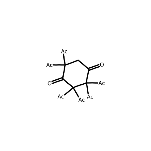 CC(=O)C1(C(C)=O)CC(=O)C(C(C)=O)(C(C)=O)C(C(C)=O)(C(C)=O)C1=O